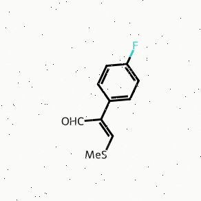 CSC=C(C=O)c1ccc(F)cc1